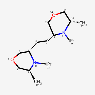 CC(C)N1[C@H](CC[C@H]2COC[C@H](C)N2C(C)C)COC[C@@H]1C